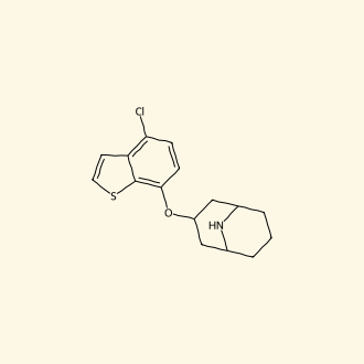 Clc1ccc(OC2CC3CCCC(C2)N3)c2sccc12